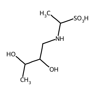 CC(O)C(O)CNC(C)S(=O)(=O)O